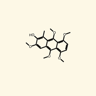 COc1cc2c(OC)c3c(OC)ccc(OC)c3c(OC)c2c(C)c1O